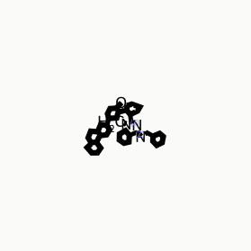 C=N/C(=N\C(=N/Cc1ccccc1)c1ccccc1)c1cccc2oc3ccc(-c4ccc5c(ccc6ccccc65)c4)cc3c12